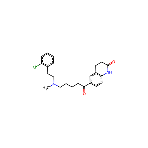 CN(CCCCC(=O)c1ccc2c(c1)CCC(=O)N2)CCc1ccccc1Cl